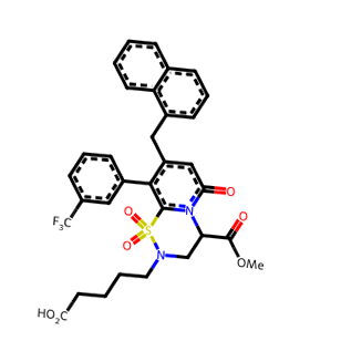 COC(=O)C1CN(CCCCC(=O)O)S(=O)(=O)c2c(-c3cccc(C(F)(F)F)c3)c(Cc3cccc4ccccc34)cc(=O)n21